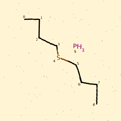 CCCCSCCCC.P